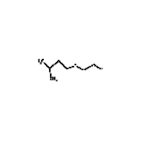 CC(C)CCSCC[S]